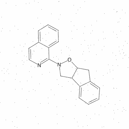 c1ccc2c(c1)CC1ON(c3nccc4ccccc34)CC21